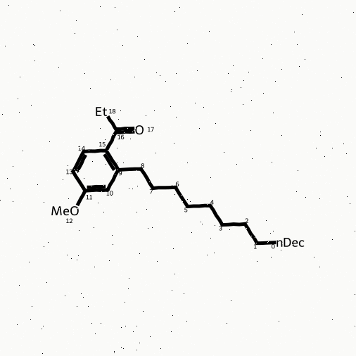 CCCCCCCCCCCCCCCCCCc1cc(OC)ccc1C(=O)CC